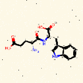 N[C@H](CCC(=O)O)C(=O)N[C@@H](Cc1c[nH]c2ccccc12)C(=O)O